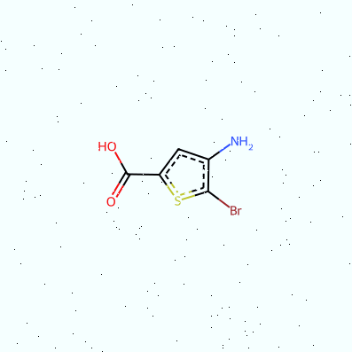 Nc1cc(C(=O)O)sc1Br